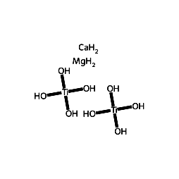 [CaH2].[MgH2].[OH][Ti]([OH])([OH])[OH].[OH][Ti]([OH])([OH])[OH]